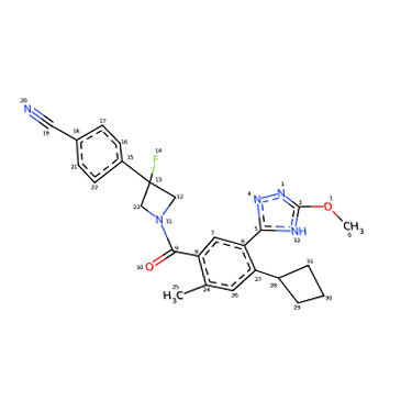 COc1nnc(-c2cc(C(=O)N3CC(F)(c4ccc(C#N)cc4)C3)c(C)cc2C2CCC2)[nH]1